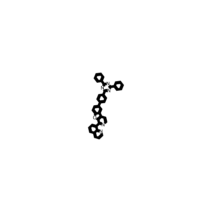 c1ccc(-c2nc(-c3ccccc3)nc(-c3ccc(-c4ccc5oc6c(-c7cccc8cccnc78)nccc6c5c4)cc3)n2)cc1